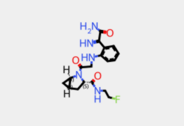 N=C(C(N)=O)c1ccccc1NCC(=O)N1[C@@H]2C[C@@H]2C[C@H]1C(=O)NCCF